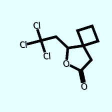 O=C1CC2(CCC2)C(CC(Cl)(Cl)Cl)O1